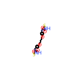 O=C1NC(=S)O/C1=C/c1ccc(OCCCCCOc2ccc(/C=C3/OC(=S)NC3=O)cc2)cc1